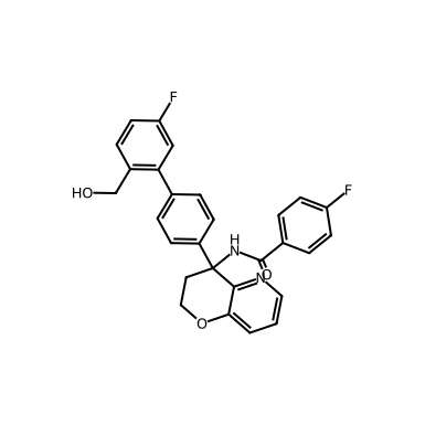 O=C(NC1(c2ccc(-c3cc(F)ccc3CO)cc2)CCOc2cccnc21)c1ccc(F)cc1